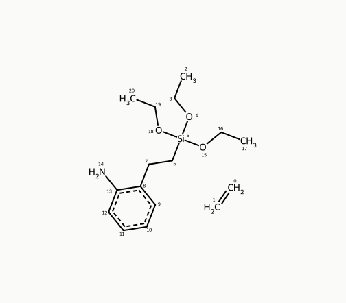 C=C.CCO[Si](CCc1ccccc1N)(OCC)OCC